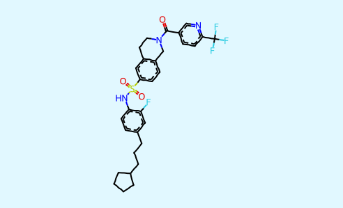 O=C(c1ccc(C(F)(F)F)nc1)N1CCc2cc(S(=O)(=O)Nc3ccc(CCCC4CCCC4)cc3F)ccc2C1